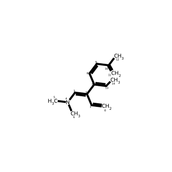 C=CC(=C\N(C)C)/C(/C=C\C(=C)C)=C/C